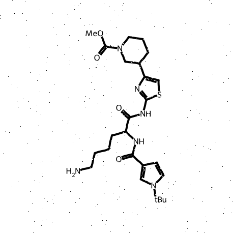 COC(=O)N1CCCC(c2csc(NC(=O)C(CCCCN)NC(=O)c3ccn(C(C)(C)C)c3)n2)C1